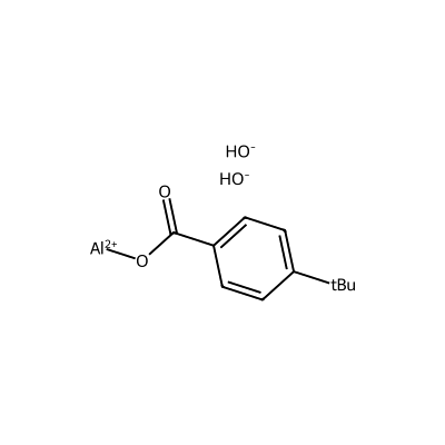 CC(C)(C)c1ccc(C(=O)[O][Al+2])cc1.[OH-].[OH-]